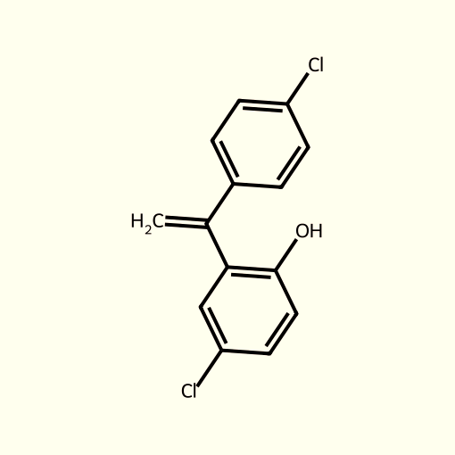 C=C(c1ccc(Cl)cc1)c1cc(Cl)ccc1O